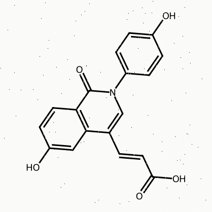 O=C(O)/C=C/c1cn(-c2ccc(O)cc2)c(=O)c2ccc(O)cc12